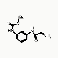 C=CC(=O)Nc1cccc(NC(=O)OC(C)(C)C)c1